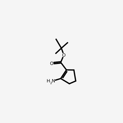 CC(C)(C)OC(=O)C1=C(N)CCC1